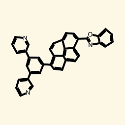 c1cncc(-c2cc(-c3cccnc3)cc(-c3ccc4ccc5c(-c6nc7ccccc7o6)ccc6ccc3c4c65)c2)c1